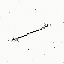 C=CC(=O)OCCCCCCCCCCCCCCCCCCC[SiH2]C(Br)Br